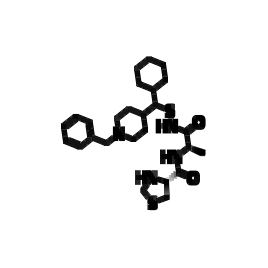 C[C@@H](NC(=O)[C@@H]1CSCN1)C(=O)NSC(C1CCCCC1)C1CCN(Cc2ccccc2)CC1